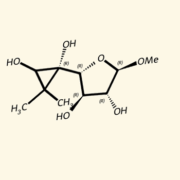 CO[C@@H]1O[C@@H]([C@]2(O)C(O)C2(C)C)[C@H](O)[C@H]1O